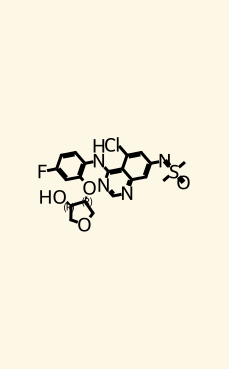 CS(C)(=O)=Nc1cc(Cl)c2c(Nc3ccc(F)cc3O[C@@H]3COC[C@H]3O)ncnc2c1